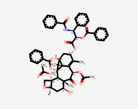 CC(=O)O[C@H]1C(=O)[C@@]2(C)[C@@H]([C@]3(OC(C)=O)CO[C@@H]3C[C@@H]2O)[C@@]2(OC(=O)c3ccccc3)[C@]3(O)C[C@H](OC(=O)[C@H](OC(=O)c4ccccc4)[C@@H](NC(=O)c4ccccc4)c4ccccc4)C(C)=C1[C@@]32C